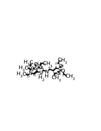 CCO[Si](CCCNC[SiH2]C(=CN(CC)CC)[Si](C)(OCC)OCC)(OCC)OCC